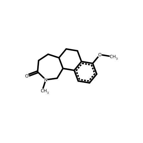 COc1cccc2c1CCC1CCC(=O)N(C)CC21